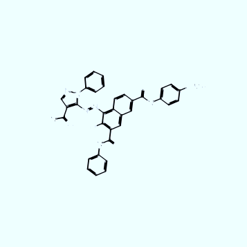 COc1ccc(NC(=O)c2ccc3c(/N=N/c4c(C(N)=O)cnn4-c4ccccc4)c(O)c(C(=O)Nc4ccccc4)cc3c2)cc1